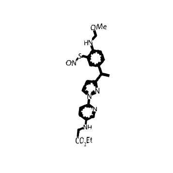 CCOC(=O)CNc1ccc(-n2ccc(C(C)c3ccc(NCOC)c(SN=O)c3)n2)nc1